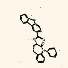 O=C(NC1CCc2ccccc2N(c2ccccc2)C1=O)c1cc2c(cn1)[nH]c1ccccc12